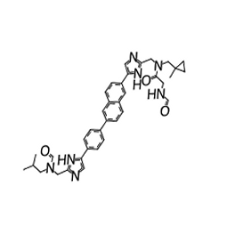 CC(C)CN(C=O)Cc1ncc(-c2ccc(-c3ccc4cc(-c5cnc(CN(CC6(C)CC6)C(=O)CNC=O)[nH]5)ccc4c3)cc2)[nH]1